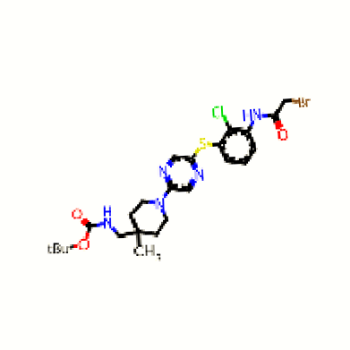 CC1(CNC(=O)OC(C)(C)C)CCN(c2cnc(Sc3cccc(NC(=O)CBr)c3Cl)cn2)CC1